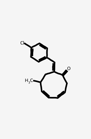 CC1/C=C\C=C/CC(=O)/C(=C/c2ccc(Cl)cc2)C1